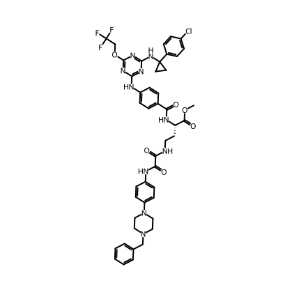 COC(=O)[C@H](CCNC(=O)C(=O)Nc1ccc(N2CCN(Cc3ccccc3)CC2)cc1)NC(=O)c1ccc(Nc2nc(NC3(c4ccc(Cl)cc4)CC3)nc(OCC(F)(F)F)n2)cc1